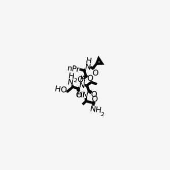 CCCC(NC(=O)C1CC1)C(=O)OC(C)C(NC(=O)C(N)CO)C(=O)NC(C)C(N)=O